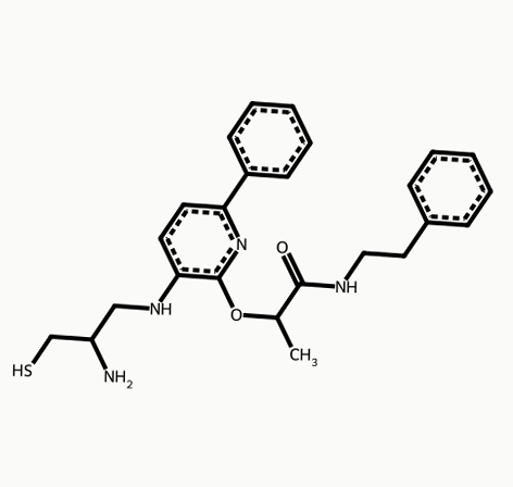 CC(Oc1nc(-c2ccccc2)ccc1NCC(N)CS)C(=O)NCCc1ccccc1